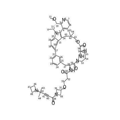 CCn1c(-c2cccnc2[C@H](C)OC)c2c3cc(ccc31)-c1cccc(c1)C[C@H](NC(=O)CCOC1CN(C(=O)C#CC(C)(C)N3CCC3)C1)C(=O)N1CCC[C@H](N1)C(=O)OCC(C)(C)C2